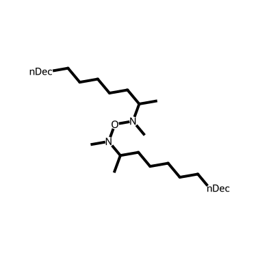 CCCCCCCCCCCCCCCC(C)N(C)ON(C)C(C)CCCCCCCCCCCCCCC